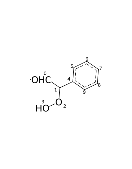 O=[C]C(OO)c1ccccc1